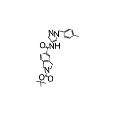 Cc1ccc(Cn2cc(NC(=O)c3ccc4c(c3)CCN(C(=O)OC(C)(C)C)C4)cn2)cc1